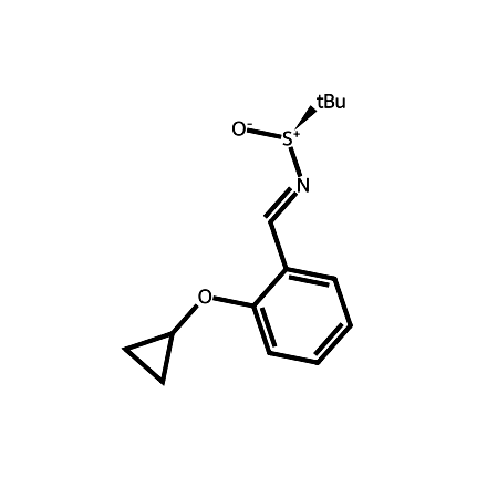 CC(C)(C)[S@+]([O-])/N=C/c1ccccc1OC1CC1